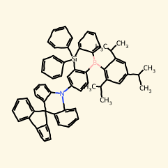 CC(C)c1cc(C(C)C)c(B2c3ccccc3[Si](c3ccccc3)(c3ccccc3)c3cc(N4c5ccccc5C5(c6ccccc6-c6ccccc65)c5ccccc54)ccc32)c(C(C)C)c1